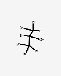 OC(Br)(C(Br)(Br)Br)C(Br)(Br)Br